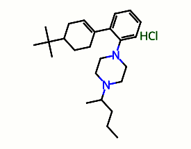 CCCC(C)N1CCN(c2ccccc2C2=CCC(C(C)(C)C)CC2)CC1.Cl